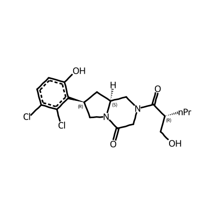 CCC[C@H](CO)C(=O)N1CC(=O)N2C[C@@H](c3c(O)ccc(Cl)c3Cl)C[C@H]2C1